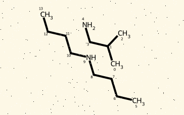 CC(C)CN.CCCCNCCCC